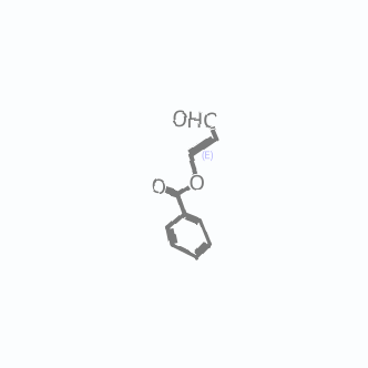 O=C/C=C/OC(=O)c1ccccc1